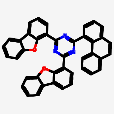 c1ccc2c(c1)ccc1cccc(-c3nc(-c4cccc5c4oc4ccccc45)nc(-c4cccc5c4oc4ccccc45)n3)c12